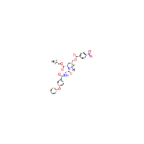 CCOC(=O)[C@@H]1C[C@]2(COC(=O)c3ccc([N+](=O)[O-])cc3)C[C@@H]2N1C(=O)CNC(=O)c1ccc(Oc2ccccc2)cc1